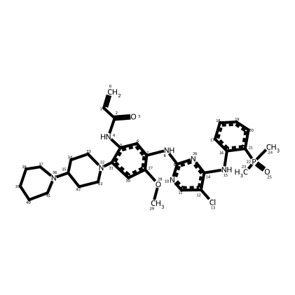 C=CC(=O)Nc1cc(Nc2ncc(Cl)c(Nc3ccccc3P(C)(C)=O)n2)c(OC)cc1N1CCC(N2CCCCC2)CC1